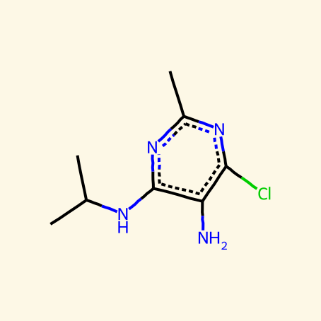 Cc1nc(Cl)c(N)c(NC(C)C)n1